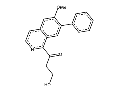 COc1cc2ccnc(C(=O)CCO)c2cc1-c1ccccc1